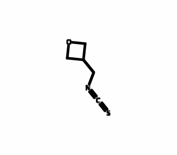 S=C=NCC1COC1